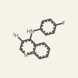 [2H]c1cnc2ccccc2c1Nc1ccc(F)cc1